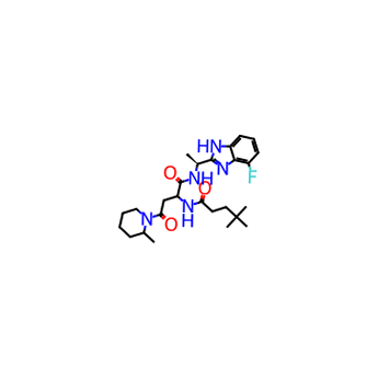 CC1CCCCN1C(=O)CC(NC(=O)CCC(C)(C)C)C(=O)N[C@@H](C)c1nc2c(F)cccc2[nH]1